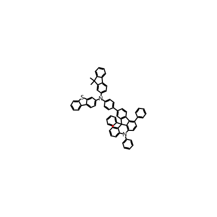 CC1(C)c2ccccc2-c2ccc(N(c3ccc(-c4ccc5c(c4)C4(c6ccccc6)c6ccccc6N(c6ccccc6)c6ccc(-c7ccccc7)c-5c64)cc3)c3ccc4c(c3)sc3ccccc34)cc21